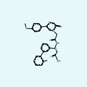 COc1ccc(-c2cn(CC(=O)N[C@@H](CC(=O)O)c3cccc(-c4ccccc4C)c3)c(=O)cn2)cc1